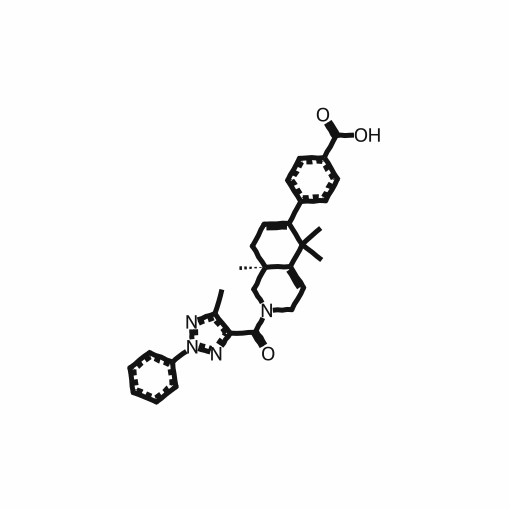 Cc1nn(-c2ccccc2)nc1C(=O)N1CC=C2C(C)(C)C(c3ccc(C(=O)O)cc3)=CC[C@]2(C)C1